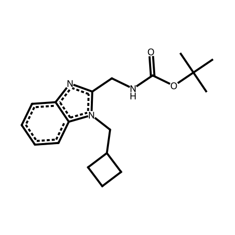 CC(C)(C)OC(=O)NCc1nc2ccccc2n1CC1CCC1